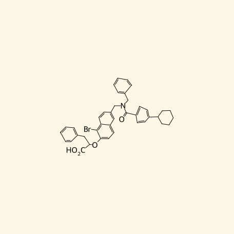 O=C(O)C(Cc1ccccc1)Oc1ccc2cc(CN(Cc3ccccc3)C(=O)c3ccc(C4CCCCC4)cc3)ccc2c1Br